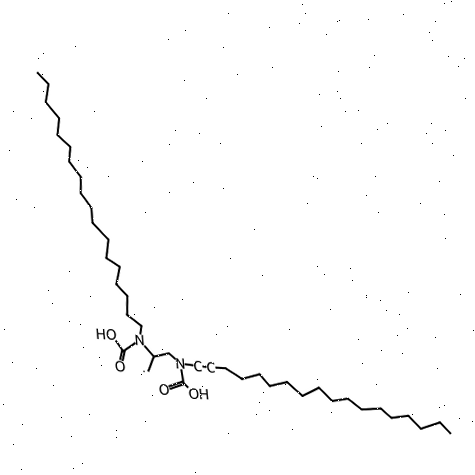 [CH2]C(CN(CCCCCCCCCCCCCCCCCC)C(=O)O)N(CCCCCCCCCCCCCCCCCC)C(=O)O